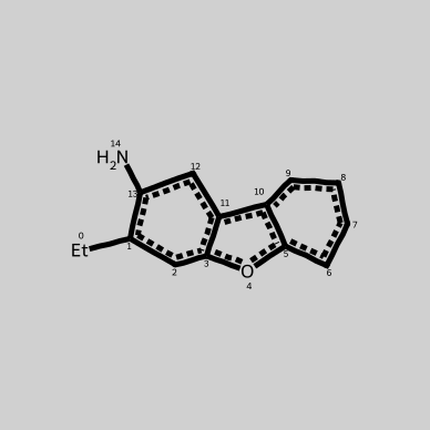 CCc1cc2oc3ccccc3c2cc1N